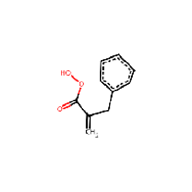 C=C(Cc1ccccc1)C(=O)OO